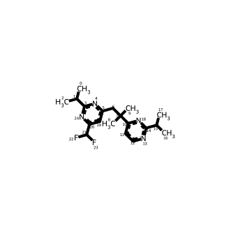 CC(C)c1nc(CC(C)(C)c2ccnc(C(C)C)n2)cc(C(F)F)n1